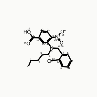 CCCCCN(Cc1ccccc1Cl)c1cc(C(=O)O)ccc1[N+](=O)[O-]